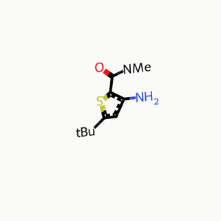 CNC(=O)c1sc(C(C)(C)C)cc1N